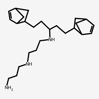 NCCCNCCCNC(CCC1CC2C=CC1C2)CCC1CC2C=CC1C2